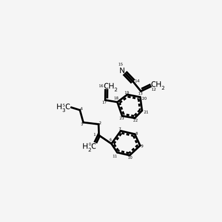 C=C(CCCC)c1ccccc1.C=CC#N.C=Cc1ccccc1